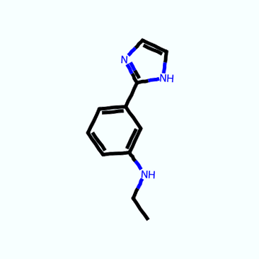 CCNc1cccc(-c2ncc[nH]2)c1